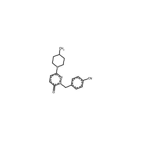 CC1CCN(c2ccc(=O)n(Cc3ccc(C#N)cc3)n2)CC1